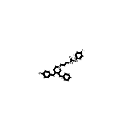 O=C(NCCCN1CCC(Cc2ccc(F)cc2)C(Cc2ccccc2)C1)Nc1ccc(F)cc1